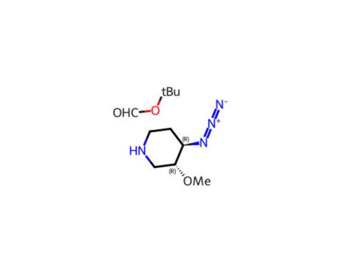 CC(C)(C)OC=O.CO[C@@H]1CNCC[C@H]1N=[N+]=[N-]